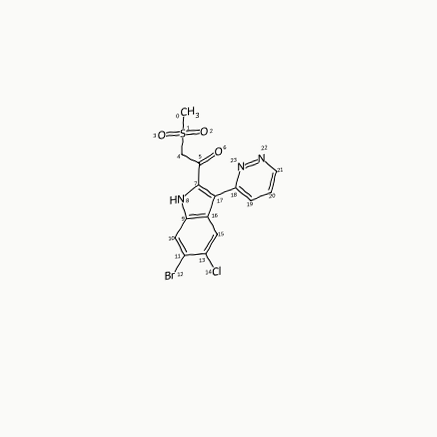 CS(=O)(=O)CC(=O)c1[nH]c2cc(Br)c(Cl)cc2c1-c1cccnn1